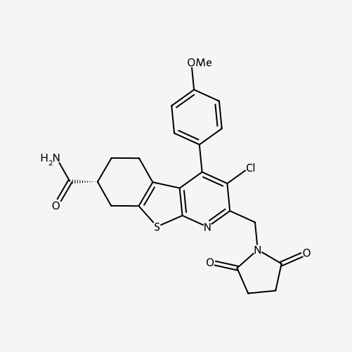 COc1ccc(-c2c(Cl)c(CN3C(=O)CCC3=O)nc3sc4c(c23)CC[C@@H](C(N)=O)C4)cc1